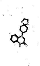 O=C1CN(C2CCC3(CC2)OCCO3)c2ccccc2N1